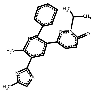 Cc1csc(-c2cc(-c3ccc(=O)n(C(C)C)n3)c(-c3ccccc3)nc2N)n1